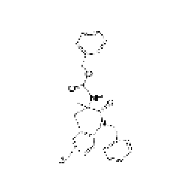 CC1(NC(=O)OCc2ccccc2)Cc2cc(Br)ccc2N(Cc2ccccc2)C1=O